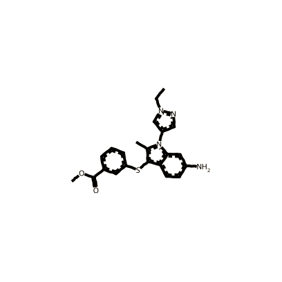 CCn1cc(-n2c(C)c(Sc3cccc(C(=O)OC)c3)c3ccc(N)cc32)cn1